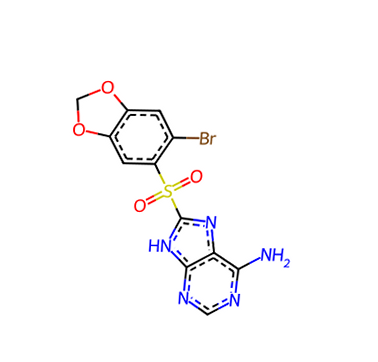 Nc1ncnc2[nH]c(S(=O)(=O)c3cc4c(cc3Br)OCO4)nc12